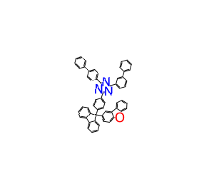 c1ccc(-c2ccc(-c3nc(-c4ccc(C5(c6ccc7oc8ccccc8c7c6)c6ccccc6-c6ccccc65)cc4)nc(-c4cccc(-c5ccccc5)c4)n3)cc2)cc1